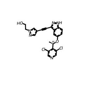 C[C@@H](Oc1ccc2[nH]nc(C#Cc3cnn(CCO)c3)c2c1)c1c(Cl)cncc1Cl